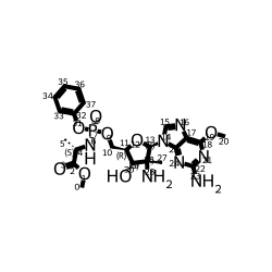 COC(=O)[C@H](C)NP(=O)(OC[C@H]1O[C@@H](n2cnc3c(OC)nc(N)nc32)[C@](C)(N)[C@@H]1O)Oc1ccccc1